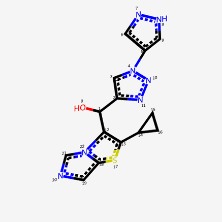 OC(c1cn(-c2cn[nH]c2)nn1)c1c(C2CC2)sc2cncn12